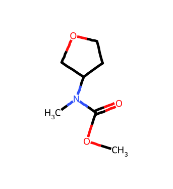 COC(=O)N(C)C1CCOC1